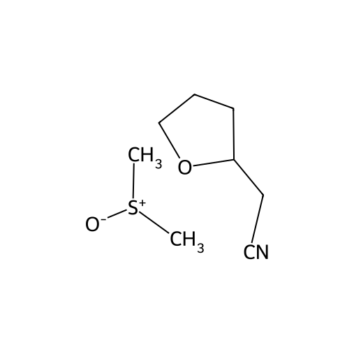 C[S+](C)[O-].N#CCC1CCCO1